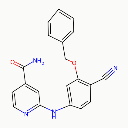 N#Cc1ccc(Nc2cc(C(N)=O)ccn2)cc1OCc1ccccc1